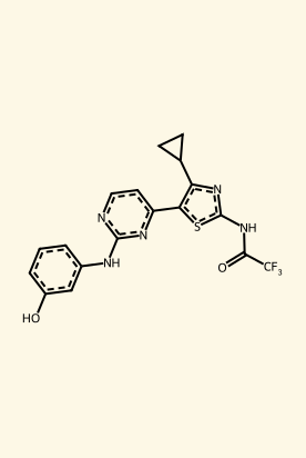 O=C(Nc1nc(C2CC2)c(-c2ccnc(Nc3cccc(O)c3)n2)s1)C(F)(F)F